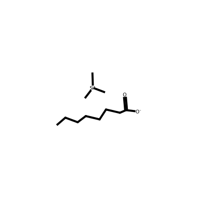 CCCCCCCC(=O)[O-].C[Si+](C)C